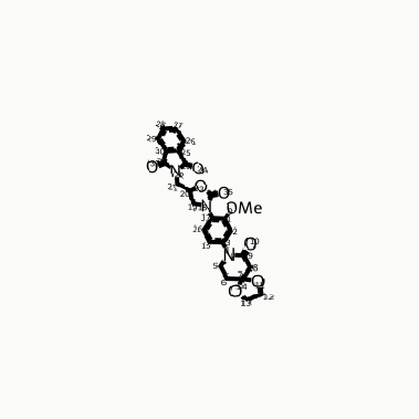 COc1cc(N2CCC3(CC2=O)OCCO3)ccc1N1CC(CN2C(=O)c3ccccc3C2=O)OC1=O